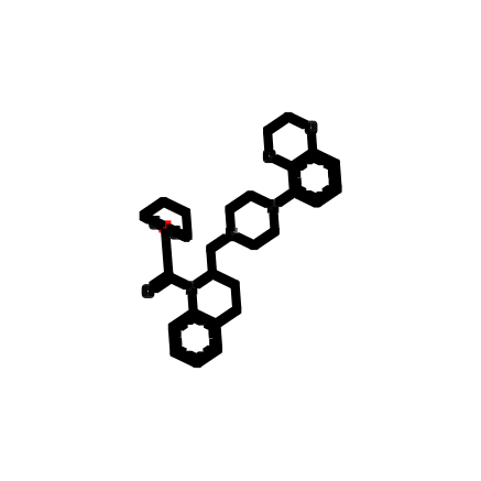 O=C(C1CC2CCC1CC2)N1c2ccccc2CCC1CN1CCN(c2cccc3c2OCCO3)CC1